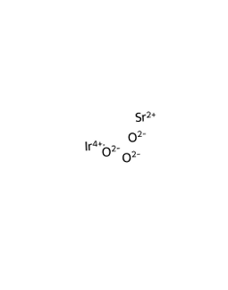 [Ir+4].[O-2].[O-2].[O-2].[Sr+2]